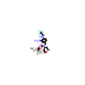 CC(C)(C)OC(=O)N(Cc1ccc(NCC(F)(F)F)c(N)c1)C1CCOCC1